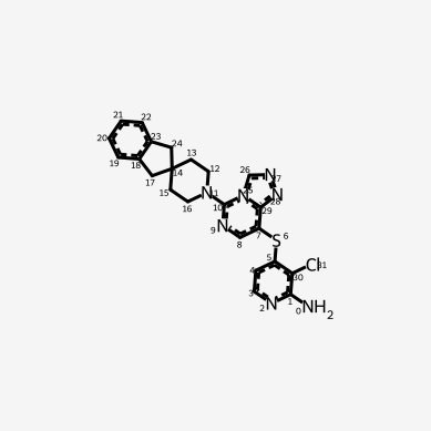 Nc1nccc(Sc2cnc(N3CCC4(CC3)Cc3ccccc3C4)n3cnnc23)c1Cl